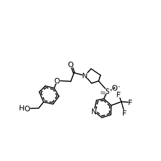 O=C(COc1ccc(CO)cc1)N1CCC([S@@+]([O-])c2cnccc2C(F)(F)F)C1